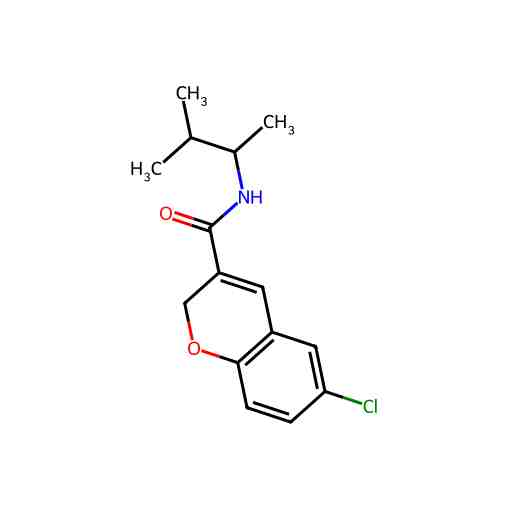 CC(C)C(C)NC(=O)C1=Cc2cc(Cl)ccc2OC1